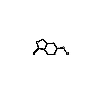 CCOC1[CH]CC2C(=O)OCC2C1